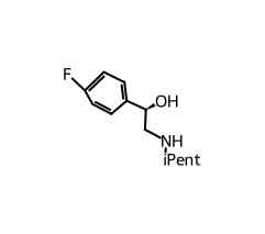 CCCC(C)NC[C@H](O)c1ccc(F)cc1